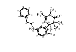 CN1C(=O)C(C)(C)[C@@](C)(c2cc(NCCc3ncccn3)ccc2F)N=C1N